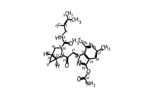 CC(C)=C(F)CNC(=O)[C@@H]1C[C@H]2C[C@H]2N1C(=O)Cn1nc(OC(N)=O)c2cc(C)nc(C)c21